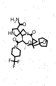 C[C@@H](OCC12CCC(CC1)OC2)[C@@H](C(=O)N1CCC(C(F)(F)F)CC1)C1N(C(=O)[C@H]2CC2(C)C)CC12CNCC2C(N)=O